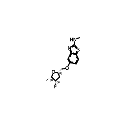 CNc1nc2cc(OC[C@@H]3C[C@H](F)[C@H](C)O3)ccc2s1